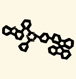 c1ccc(-c2nc(-c3ccc(-c4ccc5c(c4)C4(c6ccccc6-c6ccccc64)c4ccccc4-5)cc3)nc(-c3ccccc3-c3cccc4c3sc3ccccc34)n2)cc1